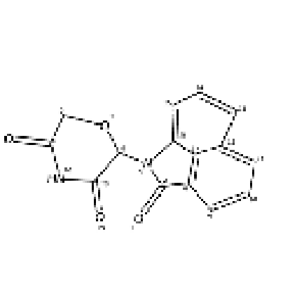 O=C1COC(N2C(=O)c3cccc4cccc2c34)C(=O)N1